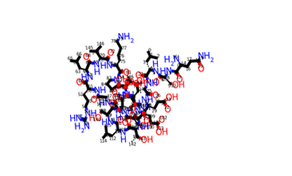 CC(C)C[C@H](NC(=O)[C@H](CO)NC(=O)[C@@H](N)CCC(N)=O)C(=O)NCC(=O)N[C@@H](CCC(=O)O)C(=O)N[C@@H](CO)C(=O)NCC(=O)NCC(=O)N[C@@H](CCCNC(=N)N)C(=O)N[C@@H](CC(C)C)C(=O)N[C@H](C(=O)N[C@@H](CCCCN)C(=O)N1CCC[C@H]1C(=O)N[C@@H](CC(=O)O)C(=O)N[C@@H](CCC(=O)O)C(=O)N[C@H](C(=O)N[C@@H](CC(C)C)C(=O)N[C@H](C(=O)N[C@@H](CC(C)C)C(=O)N[C@H](C(=O)O)[C@@H](C)O)[C@@H](C)O)[C@@H](C)O)C(C)C